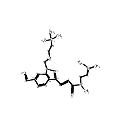 CN(C)CCN(C)C(=O)C=Cc1nn(COCC[Si](C)(C)C)c2cc(C=O)ccc12